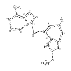 NCc1cc2cc(Cl)cc(Cn3cnc4c(N)ncnc43)c2[nH]1